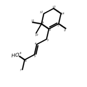 CC1=C(CC=CC(C)O)C(C)(C)CCC1